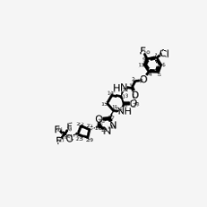 O=C(COc1ccc(Cl)c(F)c1)N[C@@H]1CC[C@H](c2nnc([C@H]3C[C@@H](OC(F)(F)F)C3)o2)NC1=O